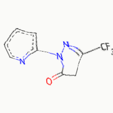 O=C1CC(C(F)(F)F)=NN1c1ccccn1